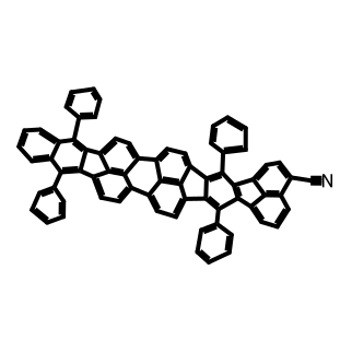 N#Cc1ccc2c3c(-c4ccccc4)c4c5ccc6c7ccc8c9c(ccc(c%10ccc(c4c(-c4ccccc4)c3c3cccc1c32)c5c%106)c97)-c1c-8c(-c2ccccc2)c2ccccc2c1-c1ccccc1